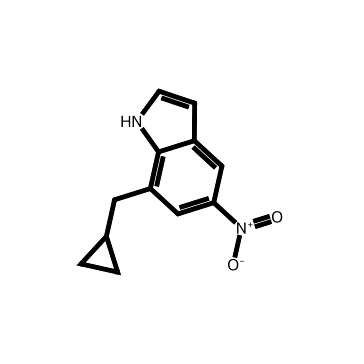 O=[N+]([O-])c1cc(CC2CC2)c2[nH]ccc2c1